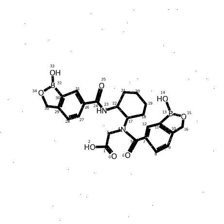 O=C(O)CN(C(=O)c1ccc2c(c1)B(O)OC2)C1CCCCC1NC(=O)c1ccc2c(c1)B(O)OC2